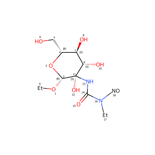 CCO[C@@H]1O[C@H](CO)[C@@H](O)[C@H](O)[C@@]1(O)NC(=O)N(CC)N=O